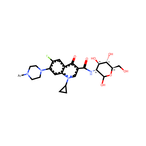 CC(=O)N1CCN(c2cc3c(cc2F)c(=O)c(C(=O)N[C@H]2C(O)O[C@H](CO)[C@@H](O)[C@@H]2O)cn3C2CC2)CC1